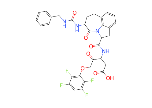 O=C(O)CC(NC(=O)C1Cc2cccc3c2N1C(=O)C(NC(=O)NCc1ccccc1)CC3)C(=O)COc1c(F)c(F)cc(F)c1F